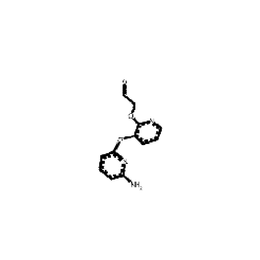 Nc1cccc(Oc2cccnc2OCC=O)n1